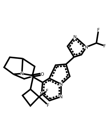 O=C(C1CCC1(F)F)N1C2CCC1CN(c1ncnn3cc(-c4cnn(C(F)F)c4)cc13)C2